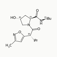 CC[C@H](C)NC(=O)[C@@H]1C[C@@H](O)CN1C(=O)[C@@H](c1cc(C)no1)C(C)C